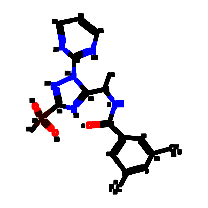 CC(NC(=O)c1cc(C(F)(F)F)cc(C(F)(F)F)c1)c1nc(S(C)(=O)=O)nn1-c1ncccn1